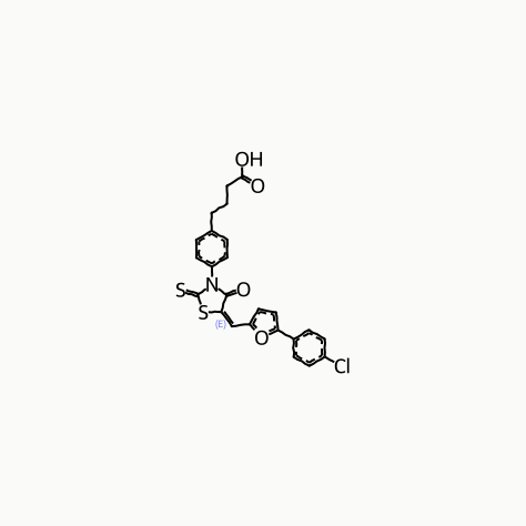 O=C(O)CCCc1ccc(N2C(=O)/C(=C\c3ccc(-c4ccc(Cl)cc4)o3)SC2=S)cc1